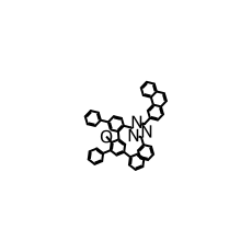 c1ccc(-c2cc(-c3ccccc3)c3oc4c(-c5ccccc5)ccc(-c5nc(-c6ccccc6)nc(-c6ccc7ccc8ccccc8c7c6)n5)c4c3c2)cc1